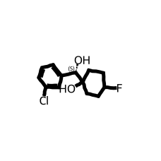 O[C@@H](c1cccc(Cl)c1)C1(O)CCC(F)CC1